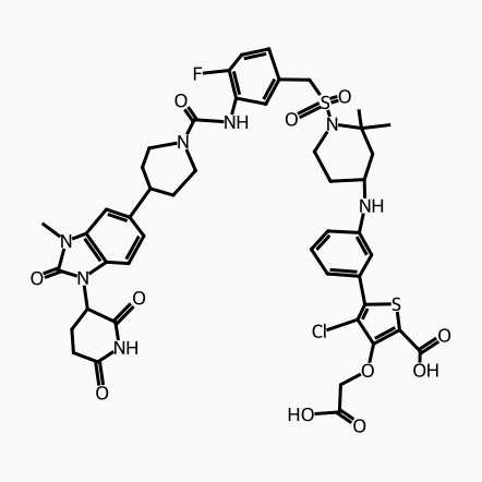 Cn1c(=O)n(C2CCC(=O)NC2=O)c2ccc(C3CCN(C(=O)Nc4cc(CS(=O)(=O)N5CCC(Nc6cccc(-c7sc(C(=O)O)c(OCC(=O)O)c7Cl)c6)CC5(C)C)ccc4F)CC3)cc21